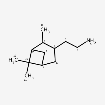 CC1C(CCN)CC2CC1C2(C)C